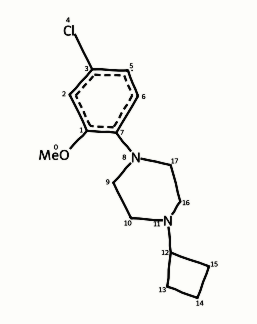 COc1cc(Cl)[c]cc1N1CCN(C2CCC2)CC1